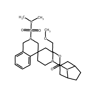 COCCOC(=O)N1C2CCC1CC(N1CCC3(CC1)CN(S(=O)(=O)N(C)C)Cc1ccccc13)C2